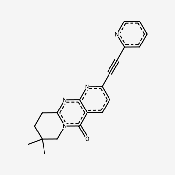 CC1(C)CCc2nc3nc(C#Cc4ccccn4)ccc3c(=O)n2C1